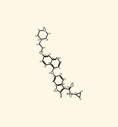 Cc1oc2cc(Oc3ccnc4cc(OCCN5CCOCC5)ccc34)ccc2c1C(=O)NC1CC1